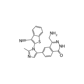 Cc1ncc(-c2ccc3c(=O)[nH]nc(CN)c3c2)n1-c1sc2ccccc2c1C#N